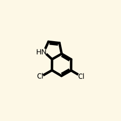 ClC1=CC(Cl)C2NC=CC2=C1